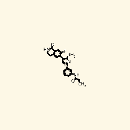 C=CC(=O)Nc1cccc(-n2cc(-c3cc4c(cc3F)C(=O)NCC4)c(N)n2)c1